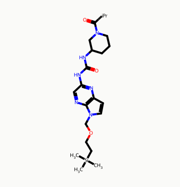 CC(C)C(=O)N1CCCC(NC(=O)Nc2cnc3c(ccn3COCC[Si](C)(C)C)n2)C1